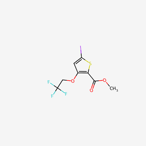 COC(=O)c1sc(I)cc1OCC(F)(F)F